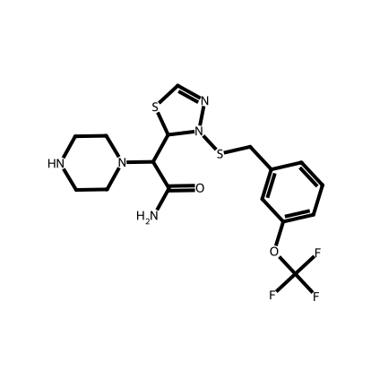 NC(=O)C(C1SC=NN1SCc1cccc(OC(F)(F)F)c1)N1CCNCC1